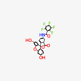 O=C(NC1=CC=C2C(C1)C(=O)OC21c2ccc(O)cc2Oc2cc(O)ccc21)c1c(F)c(F)c(F)c(F)c1F